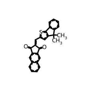 CC1(C)c2ccccc2-c2sc(C=C3C(=O)c4cc5ccccc5cc4C3=O)cc21